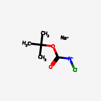 CC(C)(C)OC(=O)[N-]Cl.[Na+]